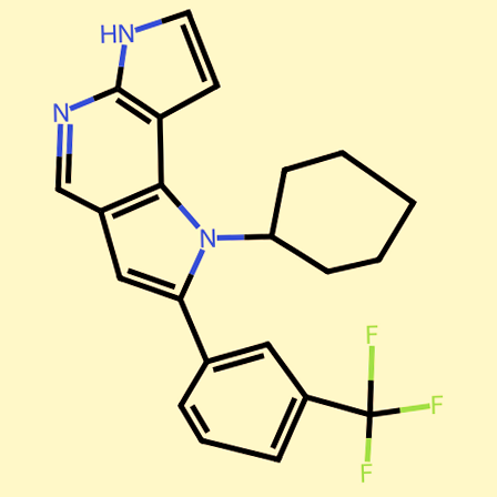 FC(F)(F)c1cccc(-c2cc3cnc4[nH]ccc4c3n2C2CCCCC2)c1